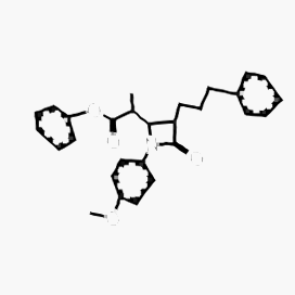 COc1ccc(N2C(=O)C(CCCc3ccccc3)C2C(C)C(=O)Oc2ccccc2)cc1